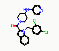 O=C(c1cc2ccccc2n1Cc1ccc(Cl)cc1Cl)N1CCC(Nc2ccncc2)CC1